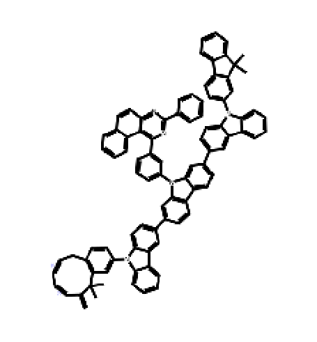 C=C1/C=C\C=C/Cc2ccc(-n3c4ccccc4c4cc(-c5ccc6c7ccc(-c8ccc9c(c8)c8ccccc8n9-c8ccc9c(c8)C(C)(C)c8ccccc8-9)cc7n(-c7cccc(-c8nc(-c9ccccc9)nc9ccc%10ccccc%10c89)c7)c6c5)ccc43)cc2C1(C)C